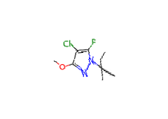 COc1nn(C(C)(C)C)c(F)c1Cl